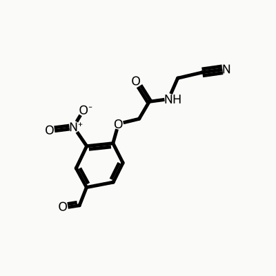 N#CCNC(=O)COc1ccc(C=O)cc1[N+](=O)[O-]